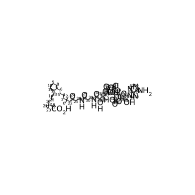 CC(C)(CCCCc1ccccc1CCCCC1(CC(=O)O)CC1)CC(=O)CCNC(=O)CCNC(=O)C(O)C(C)(C)COP(=O)(O)OP(=O)(O)OCC1OC(n2cnc3c(N)ncnc32)C(O)C1OP(=O)(O)O